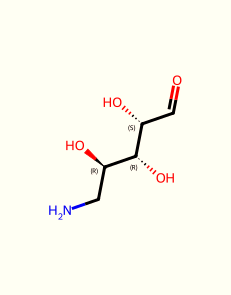 NC[C@@H](O)[C@@H](O)[C@H](O)C=O